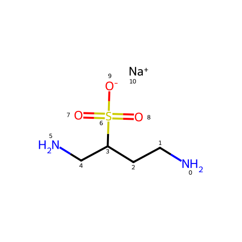 NCCC(CN)S(=O)(=O)[O-].[Na+]